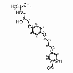 CC(C)NCC(O)COc1ccc(OCCCOc2ccc(C=O)c(Cl)c2)cc1